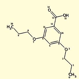 CCCOc1cc(OCCC)cc(C(=O)O)c1